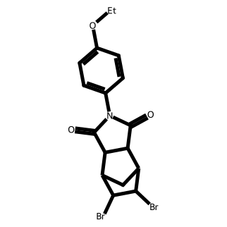 CCOc1ccc(N2C(=O)C3C4CC(C(Br)C4Br)C3C2=O)cc1